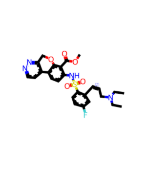 CCN(CC)C/C=C\c1cc(F)ccc1S(=O)(=O)Nc1ccc2c(c1C(=O)OC)OCc1nnccc1-2